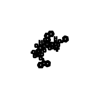 CC[C@@]1(C[C@H](NC(=O)OCc2ccccc2)C(=O)OC(C)(C)C)C(=O)N2C[C@]3(C[C@H]2C(=O)N1Cc1cccc2ccccc12)NC(=O)C1C[C@@](NC(=O)OCC2c4ccccc4-c4ccccc42)(C(=O)OC)CN1C3=O